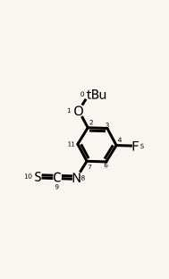 CC(C)(C)Oc1cc(F)cc(N=C=S)c1